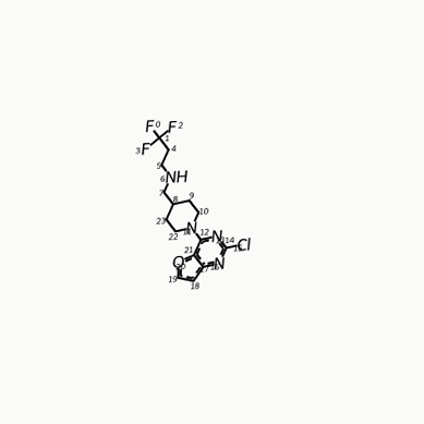 FC(F)(F)CCNCC1CCN(c2nc(Cl)nc3ccoc23)CC1